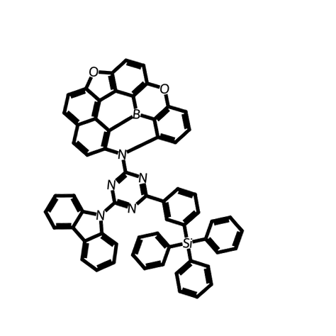 c1ccc([Si](c2ccccc2)(c2ccccc2)c2cccc(-c3nc(N4c5cccc6c5B5c7c4ccc4ccc8oc9ccc(c5c9c8c74)O6)nc(-n4c5ccccc5c5ccccc54)n3)c2)cc1